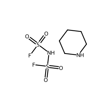 C1CCNCC1.O=S(=O)(F)NS(=O)(=O)F